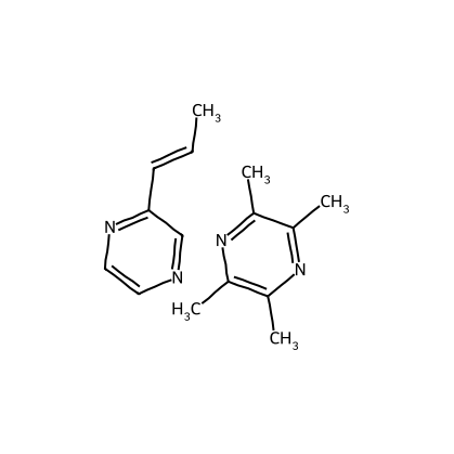 CC=Cc1cnccn1.Cc1nc(C)c(C)nc1C